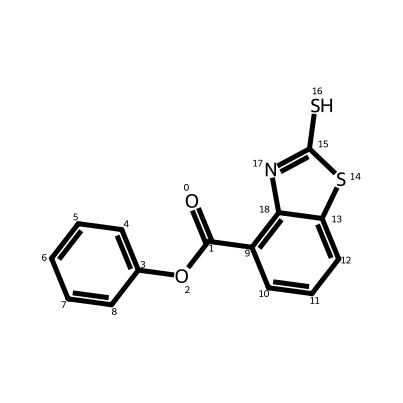 O=C(Oc1ccccc1)c1cccc2sc(S)nc12